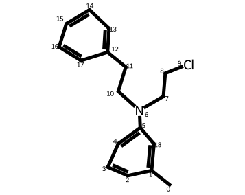 Cc1cccc(N(CCCl)CCc2ccccc2)c1